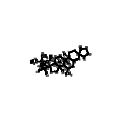 C[C@@H]1CC2=CC3(CC[C@@H]2[C@H]2CC[C@@]4(C)[C@@H](CC[C@@]4(O[Si](C)(C)C)C(F)(F)F)[C@@H]21)SCCS3